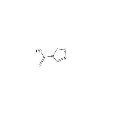 O=C(O)N1C=NSC1